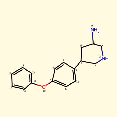 NC1CNCC(c2ccc(Oc3ccccc3)cc2)C1